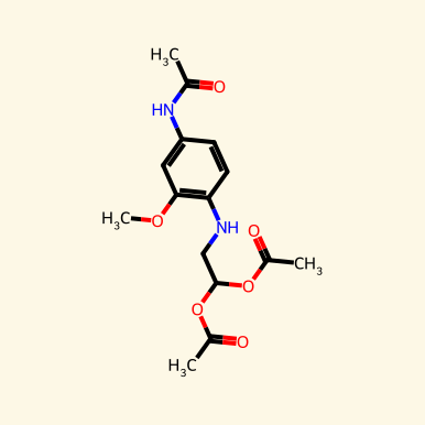 COc1cc(NC(C)=O)ccc1NCC(OC(C)=O)OC(C)=O